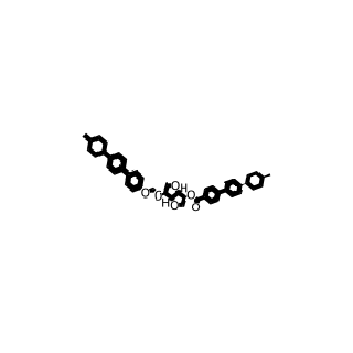 CC1CCC(c2ccc(-c3ccc(OCO[C@H]4CO[C@H]5[C@@H]4OC[C@H]5OC(=O)c4ccc(-c5ccc([C@H]6CC[C@H](C)CC6)cc5)cc4)cc3)cc2)CC1